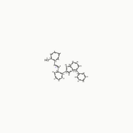 Oc1ccccc1/C=N/c1ccccc1-c1nc2c(-c3ccccc3)cccc2s1